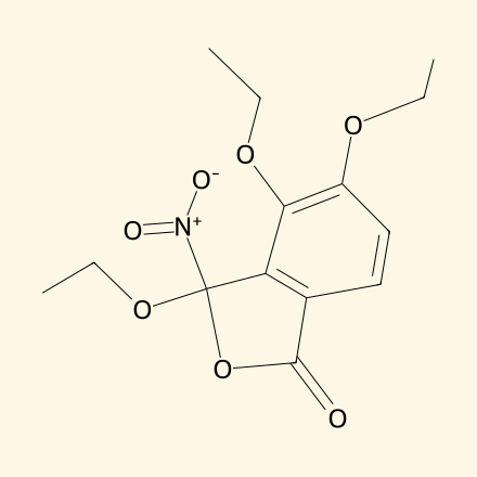 CCOc1ccc2c(c1OCC)C(OCC)([N+](=O)[O-])OC2=O